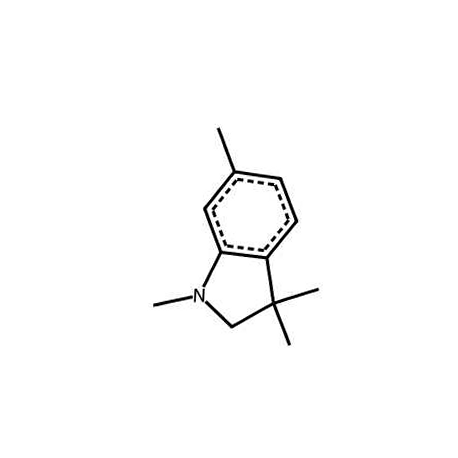 Cc1ccc2c(c1)N(C)CC2(C)C